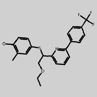 CCOCC(Sc1ccc([O])c(C)c1)c1cccc(-c2ccc(C(F)(F)F)cc2)n1